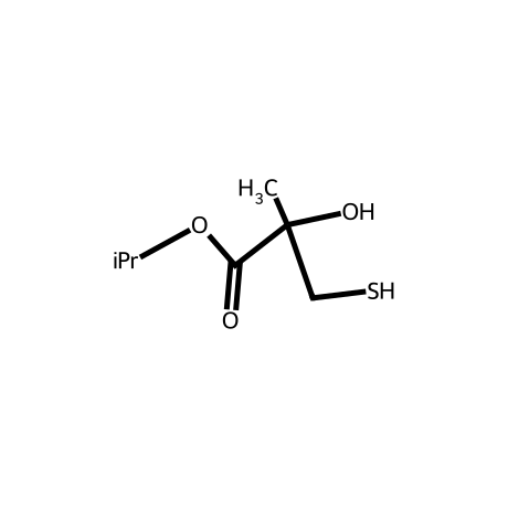 CC(C)OC(=O)C(C)(O)CS